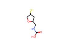 O=C(O)NCC1CC(S)CO1